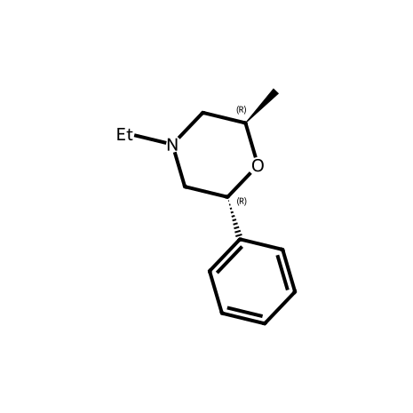 CCN1C[C@@H](C)O[C@H](c2ccccc2)C1